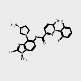 CC(C)c1nc2c(N3CC[C@@H](N)C3)c(NC(=O)C3=NN(c4c(F)cccc4F)C(O)C=C3)ccc2n1C